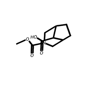 COC(=O)N1CC2CCC(C1)C2C(=O)O